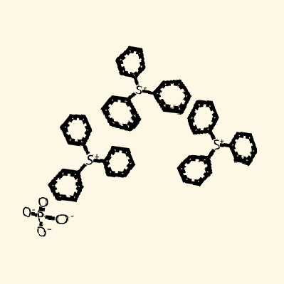 O=P([O-])([O-])[O-].c1ccc([S+](c2ccccc2)c2ccccc2)cc1.c1ccc([S+](c2ccccc2)c2ccccc2)cc1.c1ccc([S+](c2ccccc2)c2ccccc2)cc1